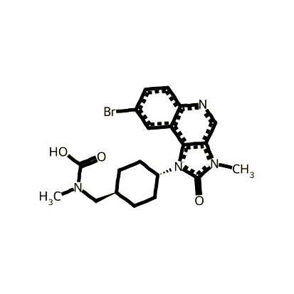 CN(C[C@H]1CC[C@H](n2c(=O)n(C)c3cnc4ccc(Br)cc4c32)CC1)C(=O)O